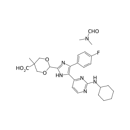 CC1(C(=O)O)COC(c2nc(-c3ccc(F)cc3)c(-c3ccnc(NC4CCCCC4)n3)[nH]2)OC1.CN(C)C=O